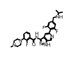 CC(C)NCc1cc(F)c(-c2cc3c(NC(=O)c4cccc(N5CCN(C)CC5)c4F)n[nH]c3cn2)c(F)c1